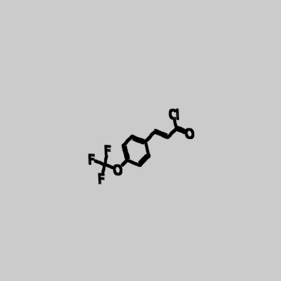 O=C(Cl)C=Cc1ccc(OC(F)(F)F)cc1